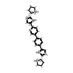 c1cc(-c2cnc([C@@H]3CCCN3)[nH]2)ccc1-c1ccc(-c2cnc([C@@H]3CCCN3)[nH]2)nc1